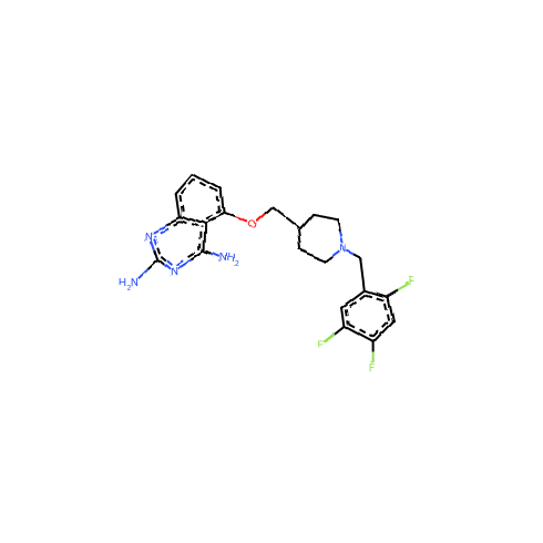 Nc1nc(N)c2c(OCC3CCN(Cc4cc(F)c(F)cc4F)CC3)cccc2n1